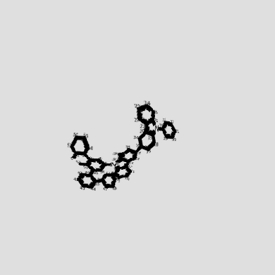 CC1=C(c2cc(-n3c4ccccc4c4cc(C5C=Cc6c(c7ccccc7n6-c6ccccc6)C5)ccc43)cc(-c3ccccc3-c3ccccc3)c2C)C=CCC1